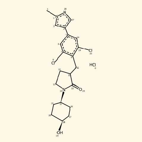 Cl.Cn1cc(-c2cc(Cl)c(CC3CCN([C@H]4CC[C@@H](O)CC4)C3=O)c(Cl)c2)cn1